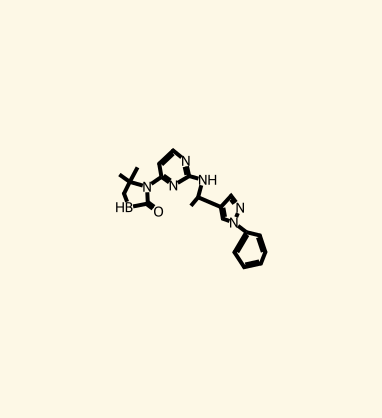 CC(Nc1nccc(N2C(=O)BCC2(C)C)n1)c1cnn(-c2ccccc2)c1